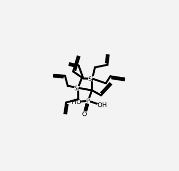 C=CC[Si](CC=C)(CC=C)C(C=C)([Si](CC=C)(CC=C)CC=C)P(=O)(O)O